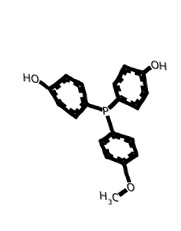 COc1ccc(P(c2ccc(O)cc2)c2ccc(O)cc2)cc1